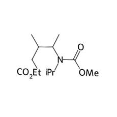 CCOC(=O)CC(C)C(C)N(C(=O)OC)C(C)C